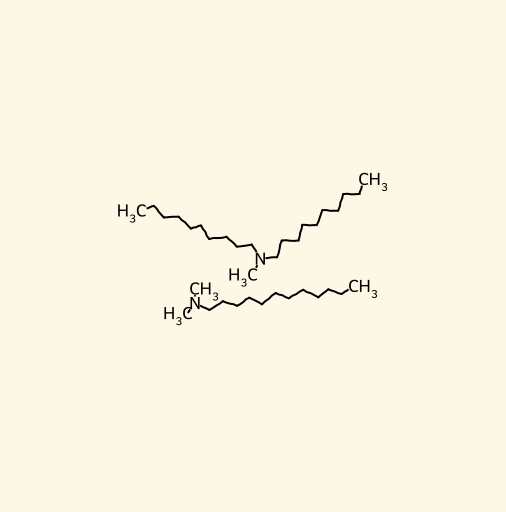 CCCCCCCCCCCCN(C)C.CCCCCCCCCCN(C)CCCCCCCCCC